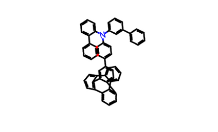 c1ccc(-c2cccc(N(c3ccc(-c4ccc5c(c4)-c4c6cccc4-c4cccc-5c4-c4ccccc4-6)cc3)c3ccccc3-c3ccccc3)c2)cc1